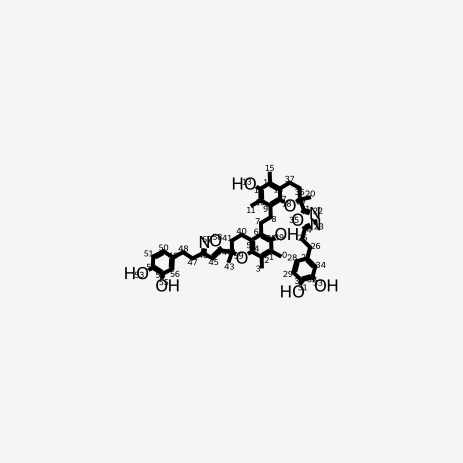 Cc1c(C)c2c(c(CCc3c(C)c(O)c(C)c4c3OC(C)(c3nnc(CCc5ccc(O)c(O)c5)o3)CC4)c1O)CCC(C)(c1cc(CCc3ccc(O)c(O)c3)no1)O2